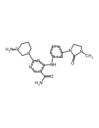 CN1CCN(c2cccc(Nc3nc(N4CCC[C@H](N)C4)ncc3C(N)=O)c2)C1=O